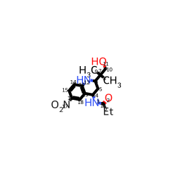 CCC(=O)NC1CC(C(C)(C)CO)Nc2ccc([N+](=O)[O-])cc21